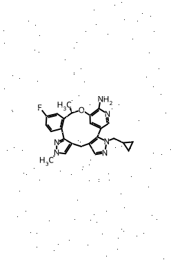 C[C@H]1Oc2cc(cnc2N)-c2c(cnn2CC2CC2)Cc2cn(C)nc2-c2ccc(F)cc21